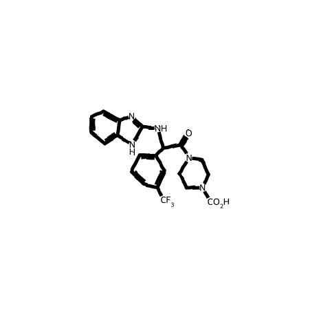 O=C(O)N1CCN(C(=O)C(Nc2nc3ccccc3[nH]2)c2cccc(C(F)(F)F)c2)CC1